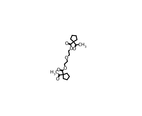 CC(=O)C1(C(=O)OCCOCCOC(=O)C2(C(C)=O)CCCC2)CCCC1